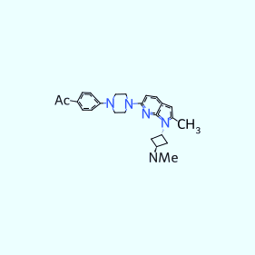 CN[C@H]1C[C@H](n2c(C)cc3ccc(N4CCN(c5ccc(C(C)=O)cc5)CC4)nc32)C1